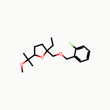 CCC1(COCc2ccccc2F)CCC(C(C)(C)OC)O1